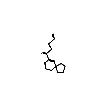 C=CCCC(=O)C1=CC2(CCCC2)CCC1